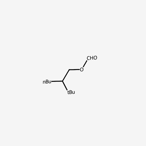 CCCCC(COC=O)C(C)(C)C